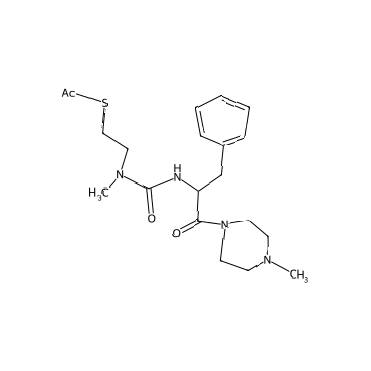 CC(=O)SCCN(C)C(=O)NC(Cc1ccccc1)C(=O)N1CCN(C)CC1